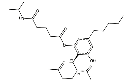 C=C(C)[C@@H]1CCC(C)=C[C@H]1c1c(O)cc(CCCCC)cc1OC(=O)CCCC(=O)NC(C)C